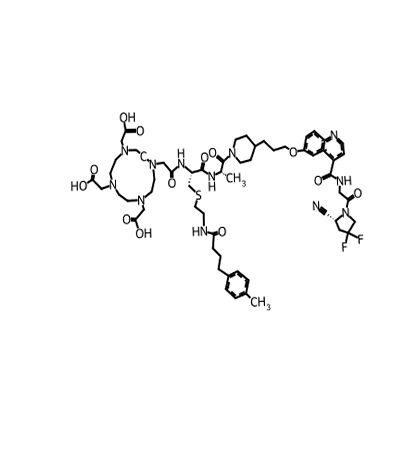 Cc1ccc(CCCC(=O)NCCSC[C@H](NC(=O)CN2CCN(CC(=O)O)CCN(CC(=O)O)CCN(CC(=O)O)CC2)C(=O)N[C@@H](C)C(=O)N2CCC(CCCOc3ccc4nccc(C(=O)NCC(=O)N5CC(F)(F)C[C@@H]5C#N)c4c3)CC2)cc1